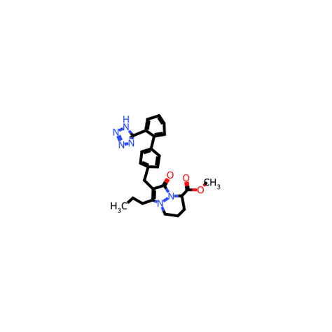 CCCc1c(Cc2ccc(-c3ccccc3-c3nnn[nH]3)cc2)c(=O)n2n1CCCC2C(=O)OC